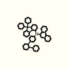 c1ccc(-c2ccccc2-c2ccc(N(c3cccc4c3-c3ccccc3C4(c3ccccc3)c3ccccc3)c3cc4ccccc4c4ccccc34)cc2)cc1